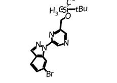 CC(C)(C)[Si](C)(C)OCc1cncc(-n2ncc3ccc(Br)cc32)n1